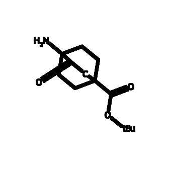 CC(C)(C)OC(=O)C12CCC(N)(CC1)C(=O)C2